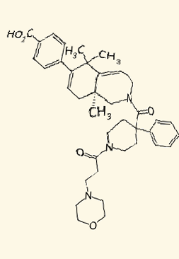 CC1(C)C(c2ccc(C(=O)O)cc2)=CC[C@]2(C)CN(C(=O)C3(c4ccccc4)CCN(C(=O)CCN4CCOCC4)CC3)CC=C12